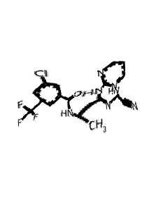 CC(NC(=O)c1cc(Cl)cc(C(F)(F)F)c1)/C(=N/C(=N)C#N)Nc1ncccn1